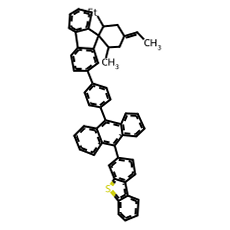 CC=C1CC(C)C2(c3ccccc3-c3ccc(-c4ccc(-c5c6ccccc6c(-c6ccc7c(c6)sc6ccccc67)c6ccccc56)cc4)cc32)C(CC)C1